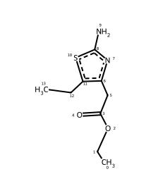 CCOC(=O)Cc1nc(N)sc1CC